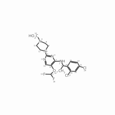 CC(Nc1nc(N2CCN(C(=O)O)CC2)ncc1OC(F)F)c1ccc(Cl)cc1Cl